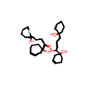 OC1(CCCC(OOC(CCCC2(O)CCCCC2)C2(O)CCCCC2)C2(O)CCCCC2)CCCCC1